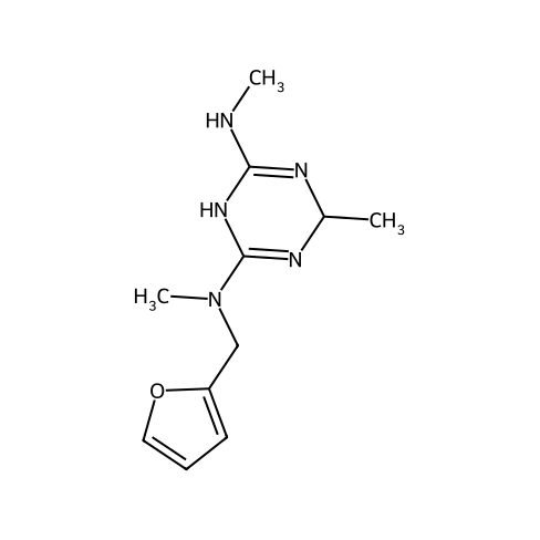 CNC1=NC(C)N=C(N(C)Cc2ccco2)N1